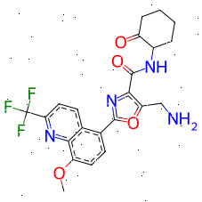 COc1ccc(-c2nc(C(=O)NC3CCCCC3=O)c(CN)o2)c2ccc(C(F)(F)F)nc12